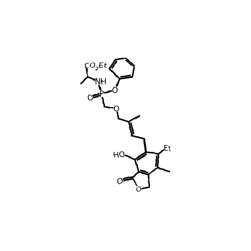 CCOC(=O)[C@H](C)NP(=O)(COC/C(C)=C/Cc1c(O)c2c(c(C)c1CC)COC2=O)Oc1ccccc1